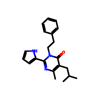 Cc1nc(-c2ccc[nH]2)n(CCc2ccccc2)c(=O)c1CC(C)C